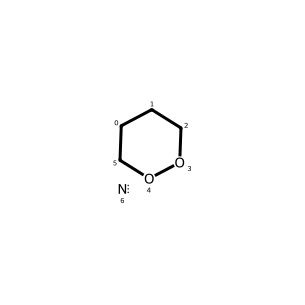 C1CCOOC1.[N]